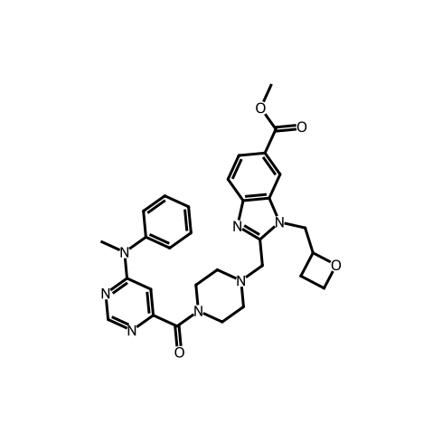 COC(=O)c1ccc2nc(CN3CCN(C(=O)c4cc(N(C)c5ccccc5)ncn4)CC3)n(CC3CCO3)c2c1